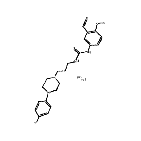 COc1ccc(NC(=O)NCCCN2CCN(c3ccc(Cl)cc3)CC2)cc1C=O.Cl.Cl